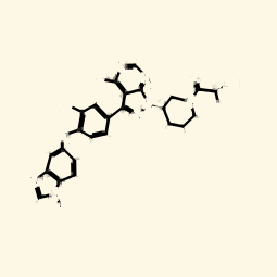 Cc1cc(-c2nn([C@@H]3CCCN(C(=O)[C@@H](C)Cl)C3)c3ncnc(C)c23)ccc1Oc1ccc2c(c1)ncn2C